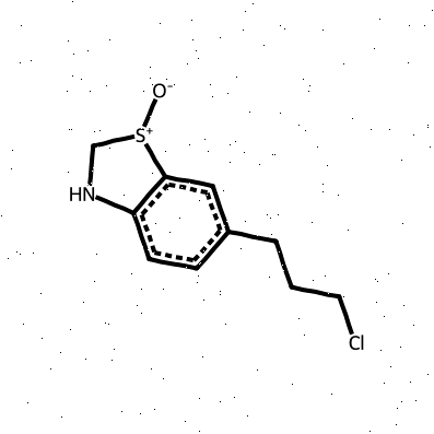 [O-][S+]1CNc2ccc(CCCCl)cc21